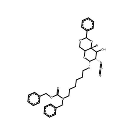 [N-]=[N+]=N[C@H]1C(O)[C@H]2OC(c3ccccc3)OCC2O[C@H]1OCCCCCCN(Cc1ccccc1)C(=O)OCc1ccccc1